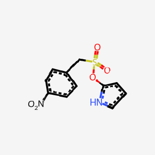 O=[N+]([O-])c1ccc(CS(=O)(=O)Oc2ccc[nH]2)cc1